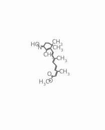 COC(=O)\C=C(C)/C=C/C=C(C)/C=C/C1=C(C)C(=N/O)/CCC1(C)C